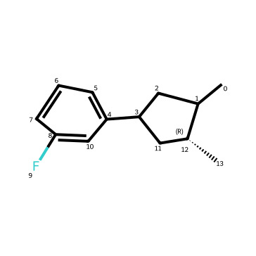 CC1CC(c2cccc(F)c2)C[C@H]1C